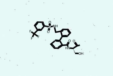 CC(=O)[C@H](CO)NC(=O)c1ccccc1-c1ccccc1CNS(=O)(=O)c1cccc(C(F)(F)F)c1